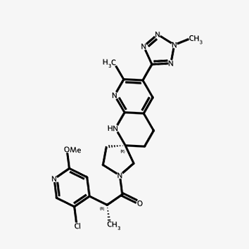 COc1cc([C@@H](C)C(=O)N2CC[C@]3(CCc4cc(-c5nnn(C)n5)c(C)nc4N3)C2)c(Cl)cn1